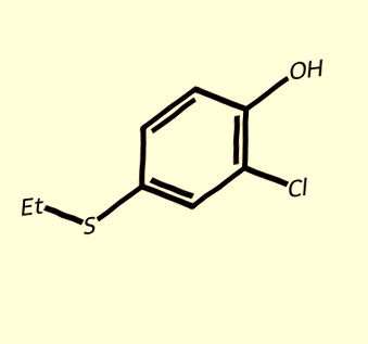 CCSc1ccc(O)c(Cl)c1